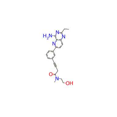 CCc1nc(N)c2nc(-c3cccc(C#CCC(=O)N(C)CCO)c3)ccc2n1